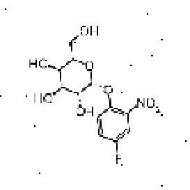 O=[N+]([O-])c1cc(F)ccc1O[C@H]1O[C@H](CO)[C@H](O)[C@H](O)[C@H]1O